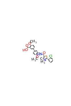 COc1ccc(-c2ccc(OC)c(C(=O)O)c2)cc1CNC(=O)c1sc(-c2ccccc2Cl)nc1C